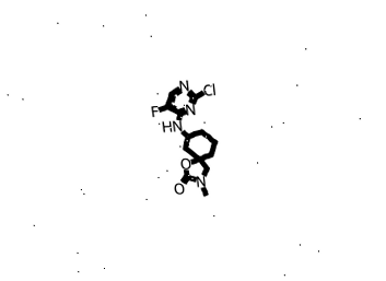 CN1CC2(CCCC(Nc3nc(Cl)ncc3F)C2)OC1=O